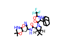 CC1(C)CNC(=O)[C@H](C[C@@H](C#N)NC(=O)[C@@H]2[C@@H]3[C@H](CN2C(=O)C(NC(=O)C(F)(F)F)C24CC5CC(CC(C5)C2)C4)C3(C)C)O1